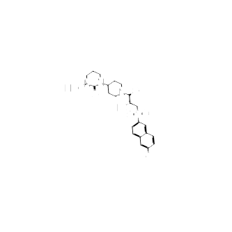 CN1CCCN(C2CCN(C(=O)[C@H](O)CS(=O)(=O)c3ccc4cc(Cl)ccc4c3)CC2)C1=O